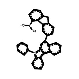 OB(O)c1cccc2c1-c1cc(-c3cc4c(c5ccccc35)c3ccccc3n4-c3ccccc3)ccc1C2